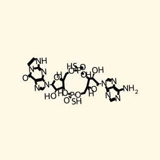 Nc1ncnc2c1ncn2[C@@H]1O[C@@H]2COP(=O)(S)O[C@H]3[C@@H](O)[C@H](n4cnc5c(=O)n6cc[nH]c6nc54)O[C@@H]3COP(=O)(S)O[C@H]2[C@H]1O